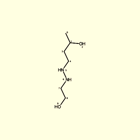 CC(O)CCNNCCO